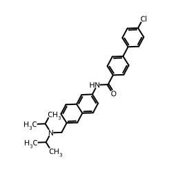 CC(C)N(Cc1ccc2cc(NC(=O)c3ccc(-c4ccc(Cl)cc4)cc3)ccc2c1)C(C)C